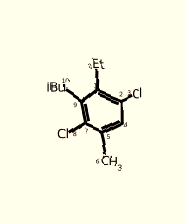 CCc1c(Cl)cc(C)c(Cl)c1C(C)CC